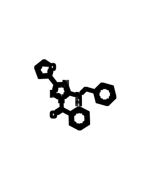 O=C(c1ccccc1)n1nc(-c2ccco2)nc1NCc1ccccc1